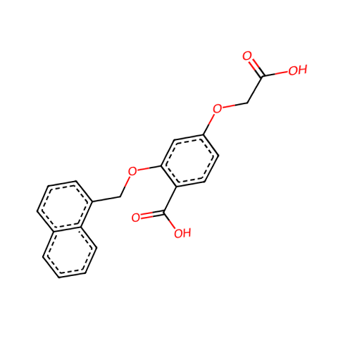 O=C(O)COc1ccc(C(=O)O)c(OCc2cccc3ccccc23)c1